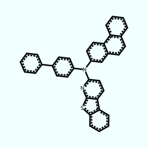 c1ccc(-c2ccc(N(c3ccc4c(ccc5ccccc54)c3)c3ccc4c(n3)sc3ccccc34)cc2)cc1